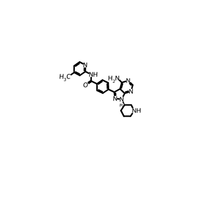 Cc1ccnc(NC(=O)c2ccc(-c3nn([C@@H]4CCCNC4)c4ncnc(N)c34)cc2)c1